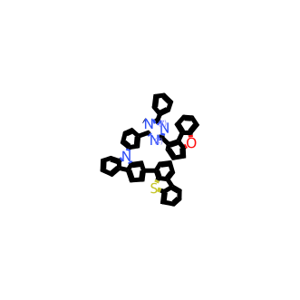 C=N/C(=N\C(=N/Cc1cccc(-n2c3ccccc3c3ccc(-c4cccc5c4sc4ccccc45)cc32)c1)c1cccc2oc3ccccc3c12)c1ccccc1